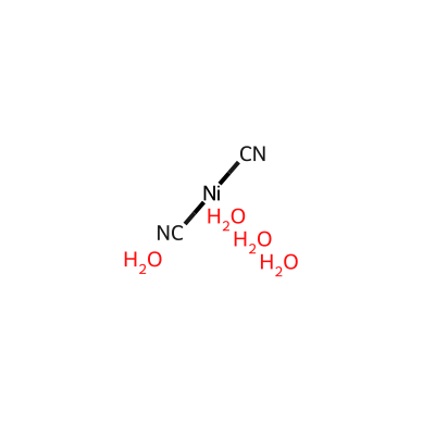 N#[C][Ni][C]#N.O.O.O.O